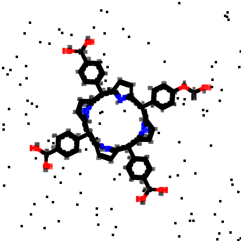 OBOc1ccc(-c2c3nc(c(-c4ccc(B(O)O)cc4)c4ccc([nH]4)c(-c4ccc(B(O)O)cc4)c4nc(c(-c5ccc(B(O)O)cc5)c5ccc2[nH]5)C=C4)C=C3)cc1